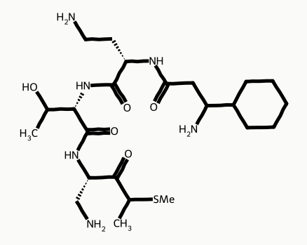 CSC(C)C(=O)[C@H](CN)NC(=O)[C@@H](NC(=O)[C@H](CCN)NC(=O)CC(N)C1CCCCC1)C(C)O